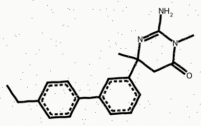 CCc1ccc(-c2cccc(C3(C)CC(=O)N(C)C(N)=N3)c2)cc1